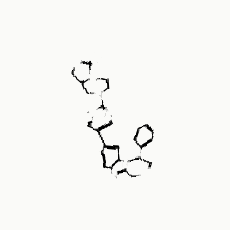 O=C1OCC2CN(c3ncc(-c4ccc5nc6n(c5c4)[C@@H](c4ccccc4)COC6)cn3)CCN12